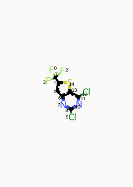 FC(F)(F)c1cc2nc(Cl)nc(Cl)c2s1